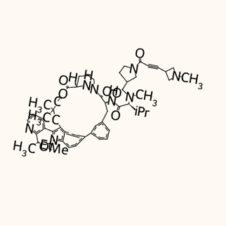 CCn1c(-c2cccnc2[C@H](C)OC)c2c3cc(ccc31)-c1cccc(c1)C[C@H](NC(=O)[C@H](C(C)C)N(C)C(=O)C1CCN(C(=O)C#CC3CN(C)C3)C1)C(=O)N1CCC[C@H](N1)C(=O)OCC(C)(C)C2